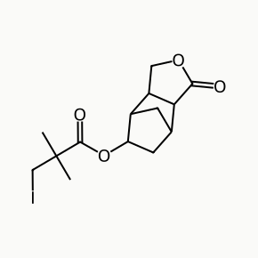 CC(C)(CI)C(=O)OC1CC2CC1C1COC(=O)C21